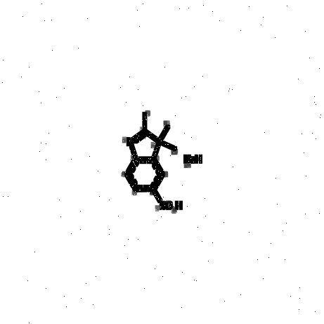 CC1=Nc2ccc(S(=O)(=O)O)cc2C1(C)C.[NaH]